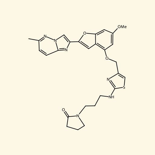 COc1cc(OCc2csc(NCCCN3CCCC3=O)n2)c2cc(-c3cn4nc(C)ccc4n3)oc2c1